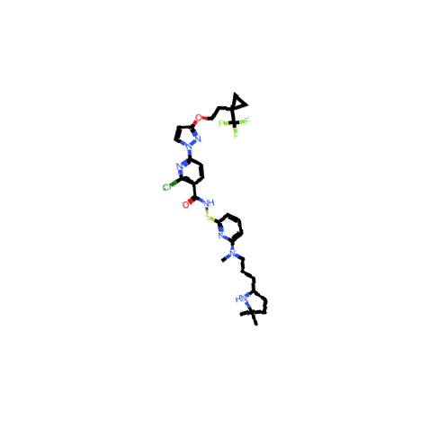 CN(CCCC1CCC(C)(C)N1)c1cccc(SNC(=O)c2ccc(-n3ccc(OCCC4(C(F)(F)F)CC4)n3)nc2Cl)n1